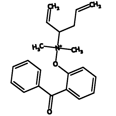 C=CCC(C=C)[N+](C)(C)Oc1ccccc1C(=O)c1ccccc1